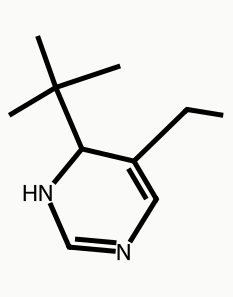 CCC1=CN=CNC1C(C)(C)C